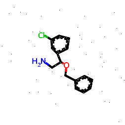 NCC(OCc1ccccc1)c1cccc(Cl)c1